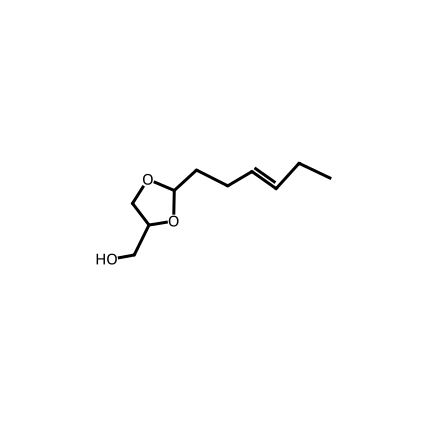 CCC=CCCC1OCC(CO)O1